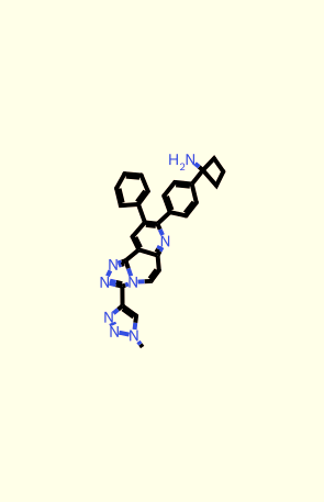 Cn1cc(-c2nnc3c4cc(-c5ccccc5)c(-c5ccc(C6(N)CCC6)cc5)nc4ccn23)nn1